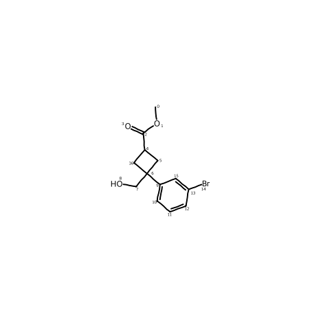 COC(=O)C1CC(CO)(c2cccc(Br)c2)C1